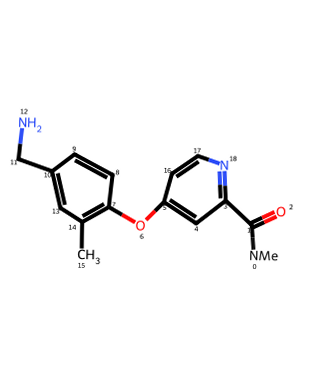 CNC(=O)c1cc(Oc2ccc(CN)cc2C)ccn1